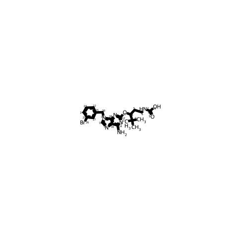 CC(C)(C)C(CCNC(=O)O)Oc1nc(N)c2ncn(Cc3cccc(Br)c3)c2n1